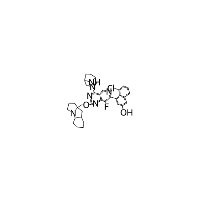 Oc1cc(-c2ncc3c(N4CC5CCC(C4)N5)nc(OCC45CCCN4C4CCCCC4C5)nc3c2F)c2c(Cl)cccc2c1